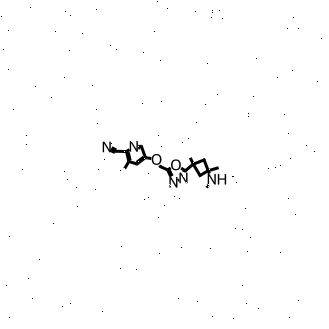 CNC1(C)CC(C)(c2nnc(COc3cnc(C#N)c(C)c3)o2)C1